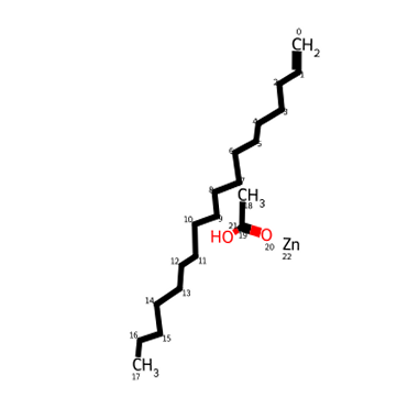 C=CCCCCCCCCCCCCCCCC.CC(=O)O.[Zn]